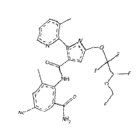 Cc1cccnc1-n1nc(OC(F)(F)C(F)OCF)cc1C(=O)Nc1c(C)cc(C#N)cc1C(N)=O